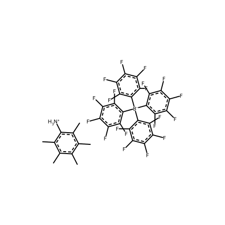 Cc1c(C)c(C)c([NH3+])c(C)c1C.Fc1c(F)c(F)c([B-](c2c(F)c(F)c(F)c(F)c2F)(c2c(F)c(F)c(F)c(F)c2F)c2c(F)c(F)c(F)c(F)c2F)c(F)c1F